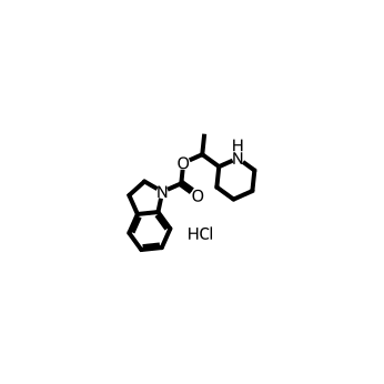 CC(OC(=O)N1CCc2ccccc21)C1CCCCN1.Cl